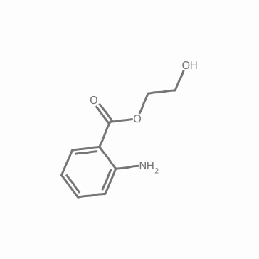 Nc1ccccc1C(=O)OCCO